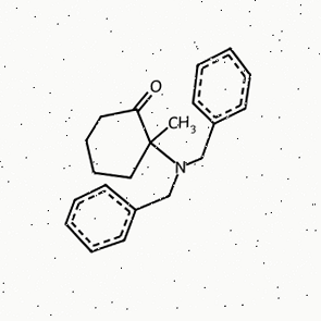 CC1(N(Cc2ccccc2)Cc2ccccc2)CCCCC1=O